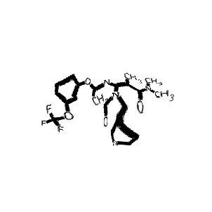 C/C(C(=O)N(C)C)=C(\N=C(/C)Oc1cccc(OC(F)(F)F)c1)N(C=O)CC1=CC=NC1